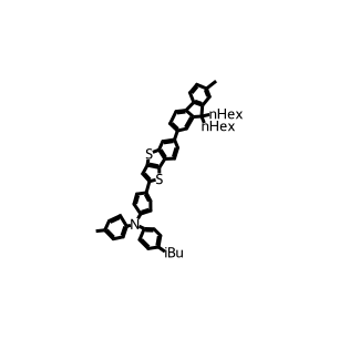 CCCCCCC1(CCCCCC)c2cc(C)ccc2-c2ccc(-c3ccc4c(c3)sc3cc(-c5ccc(N(c6ccc(C)cc6)c6ccc(C(C)CC)cc6)cc5)sc34)cc21